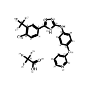 FC(F)(F)c1cc(-c2nnc(Nc3ccc(Oc4cccnc4)cc3)[nH]2)ccc1Cl.O=C(O)C(F)(F)F